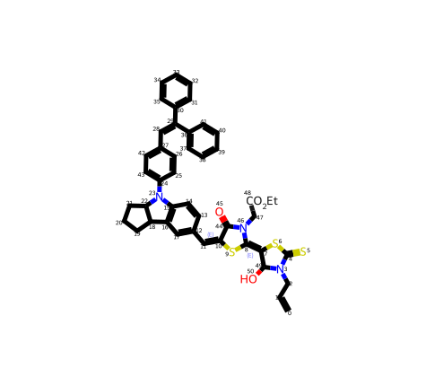 C=CCN1C(=S)S/C(=c2/s/c(=C/c3ccc4c(c3)C3CCCC3N4c3ccc(C=C(c4ccccc4)c4ccccc4)cc3)c(=O)n2CC(=O)OCC)C1O